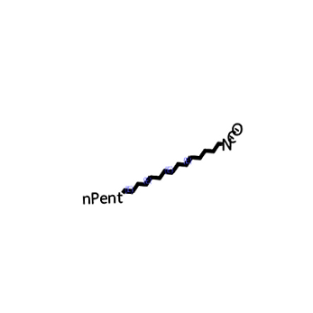 CCCCC/C=C/C/C=C/C/C=C/C/C=C/CCCCN=C=O